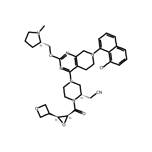 CN1CCC[C@H]1COc1nc2c(c(N3CCN(C(=O)[C@H]4O[C@H]4C4COC4)[C@@H](CC#N)C3)n1)CCN(c1cccc3cccc(Cl)c13)C2